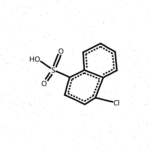 O=S(=O)(O)c1ccc(Cl)c2ccccc12